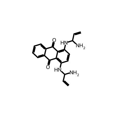 C=CC(N)Nc1ccc(NC(N)C=C)c2c1C(=O)c1ccccc1C2=O